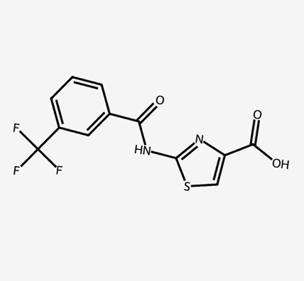 O=C(Nc1nc(C(=O)O)cs1)c1cccc(C(F)(F)F)c1